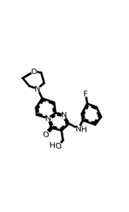 O=c1c(CO)c(Nc2cccc(F)c2)nc2cc(N3CCOCC3)ccn12